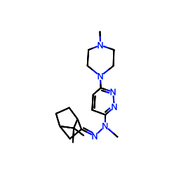 CN1CCN(c2ccc(N(C)N=C3CC4CCC3C4(C)C)nn2)CC1